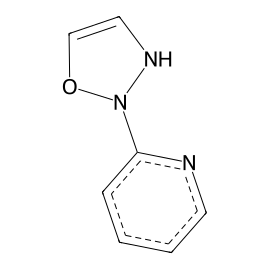 C1=CON(c2ccccn2)N1